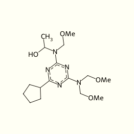 COCN(COC)c1nc(C2CCCC2)nc(N(COC)C(C)O)n1